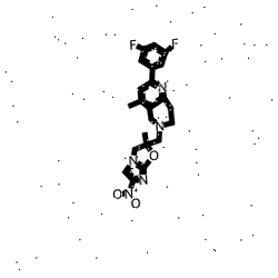 Cc1cc(-c2cc(F)cc(F)c2)nc2c1CN(CC1(C)Cn3cc([N+](=O)[O-])nc3O1)CC2